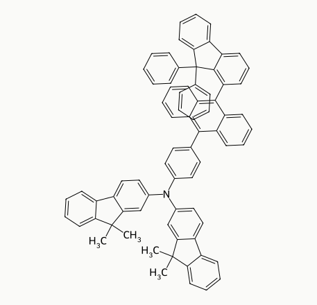 CC1(C)c2ccccc2-c2ccc(N(c3ccc(-c4c5ccccc5c(-c5cccc6c5C(c5ccccc5)(c5ccccc5)c5ccccc5-6)c5ccccc45)cc3)c3ccc4c(c3)C(C)(C)c3ccccc3-4)cc21